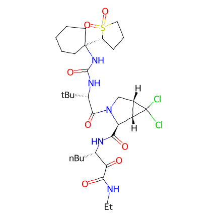 CCCC[C@H](NC(=O)[C@@H]1[C@@H]2[C@H](CN1C(=O)[C@@H](NC(=O)NC1([C@H]3CCCS3(=O)=O)CCCCC1)C(C)(C)C)C2(Cl)Cl)C(=O)C(=O)NCC